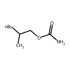 CCCCC(C)COC(N)=O